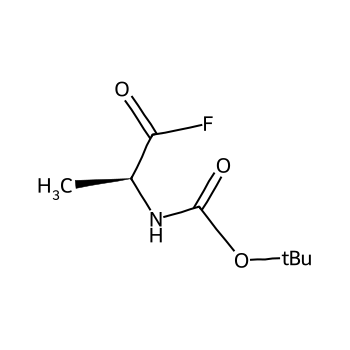 C[C@H](NC(=O)OC(C)(C)C)C(=O)F